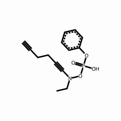 C#CCCC#CN(CC)OP(=O)(O)Oc1ccccc1